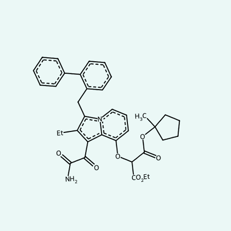 CCOC(=O)C(Oc1cccn2c(Cc3ccccc3-c3ccccc3)c(CC)c(C(=O)C(N)=O)c12)C(=O)OC1(C)CCCC1